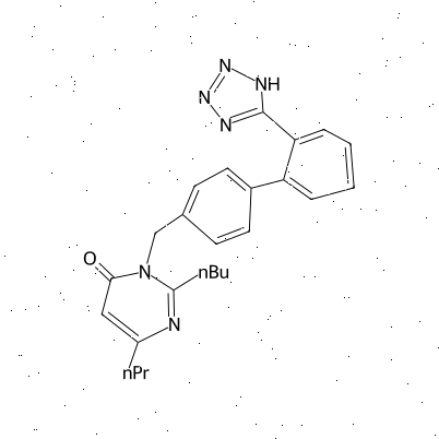 CCCCc1nc(CCC)cc(=O)n1Cc1ccc(-c2ccccc2-c2nnn[nH]2)cc1